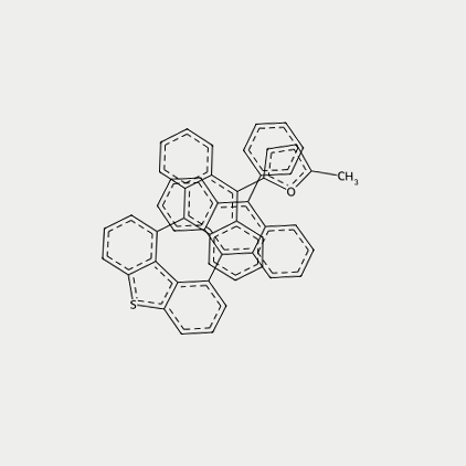 Cc1ccc(-c2c3ccccc3c(-c3cccc4sc5cccc(-c6c7ccccc7c(-c7ccccc7)c7ccccc67)c5c34)c3ccccc23)o1